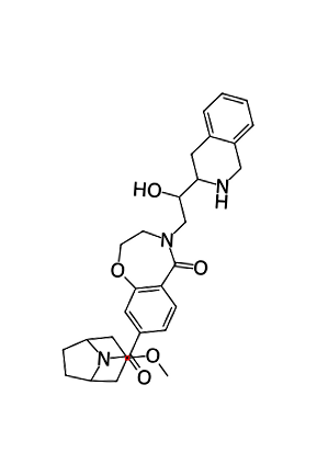 COC1CC2CCC(C1)N2C(=O)c1ccc2c(c1)OCCN(CC(O)C1Cc3ccccc3CN1)C2=O